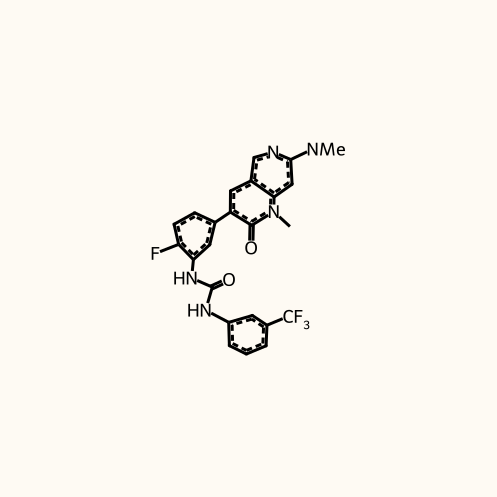 CNc1cc2c(cn1)cc(-c1ccc(F)c(NC(=O)Nc3cccc(C(F)(F)F)c3)c1)c(=O)n2C